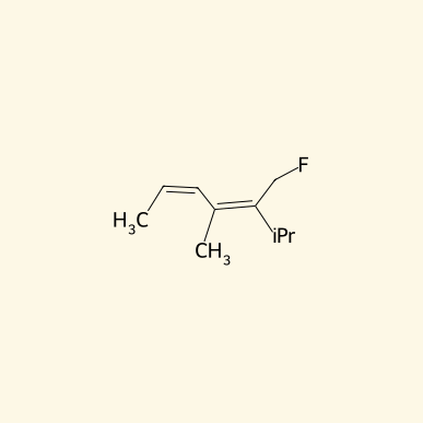 C/C=C\C(C)=C(/CF)C(C)C